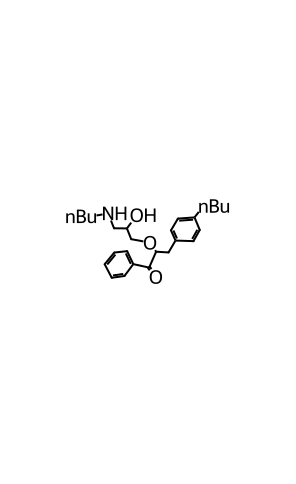 CCCCNCC(O)COC(Cc1ccc(CCCC)cc1)C(=O)c1ccccc1